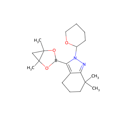 CC1(C)CCCc2c1nn(C1CCCCO1)c2B1OC2(C)CC2(C)O1